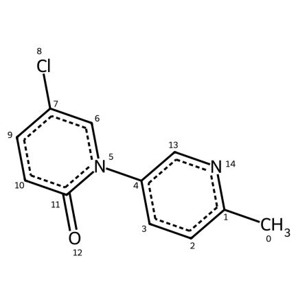 Cc1ccc(-n2cc(Cl)ccc2=O)cn1